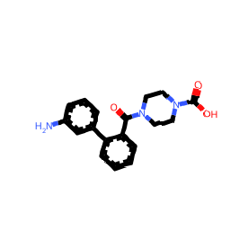 Nc1cccc(-c2ccccc2C(=O)N2CCN(C(=O)O)CC2)c1